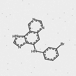 Brc1cccc(Nc2cc3ncncc3c3[nH]cnc23)c1